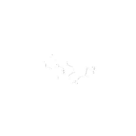 C[C@@H]1CN(c2c(C=O)cc3c(-c4cncs4)noc3c2F)C[C@H](C)O1